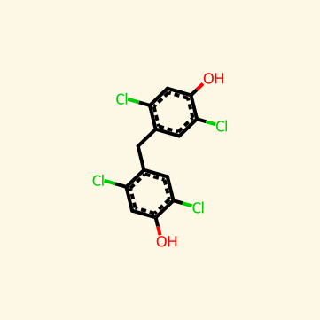 Oc1cc(Cl)c(Cc2cc(Cl)c(O)cc2Cl)cc1Cl